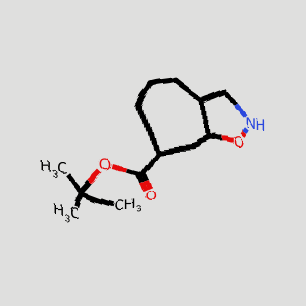 CC(C)(C)OC(=O)C1CCCC2CNOC2C1